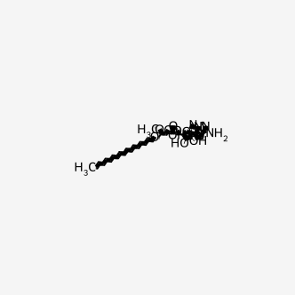 CCCCCCCCCCCCCCCCCCOC[C@H](COP(=O)(O)OC[C@H]1O[C@@](C#N)(c2ccc3c(N)ncnn23)[C@H](O)[C@@H]1O)OC